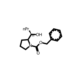 CCC[C@@H](O)C1CCCN1C(=O)OCc1ccccc1